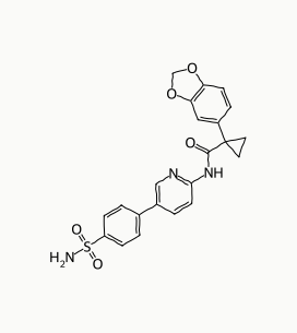 NS(=O)(=O)c1ccc(-c2ccc(NC(=O)C3(c4ccc5c(c4)OCO5)CC3)nc2)cc1